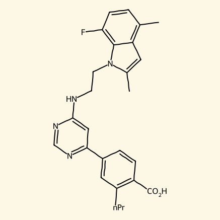 CCCc1cc(-c2cc(NCCn3c(C)cc4c(C)ccc(F)c43)ncn2)ccc1C(=O)O